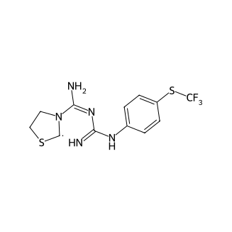 N=C(N=C(N)N1[CH]SCC1)Nc1ccc(SC(F)(F)F)cc1